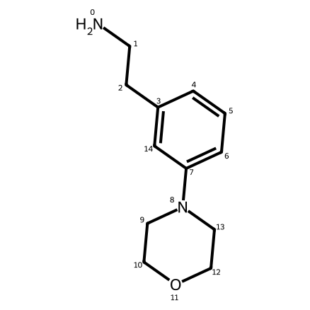 NCCc1cccc(N2CCOCC2)c1